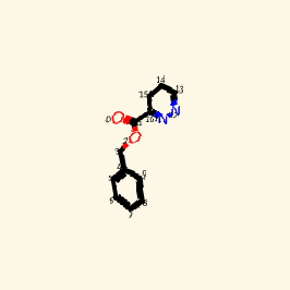 O=C(OCc1ccccc1)C1=NN=CCC1